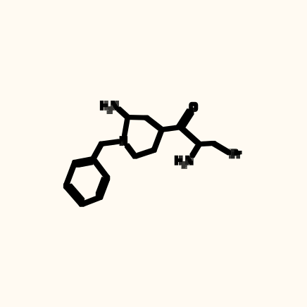 CC(C)CC(N)C(=O)C1CCN(Cc2ccccc2)C(N)C1